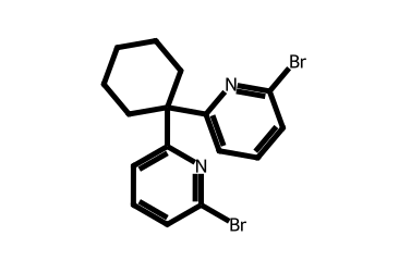 Brc1cccc(C2(c3cccc(Br)n3)CCCCC2)n1